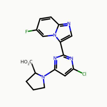 O=C(O)C1CCCN1c1cc(Cl)nc(-c2cnc3ccc(F)cn23)n1